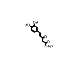 CCCCCCC(=O)CC(=O)C=Cc1ccc(O)c(O)c1